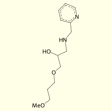 COCCCOCC(O)CNCc1ccccn1